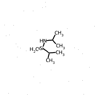 C=[Si](NC(C)C)C(C)C